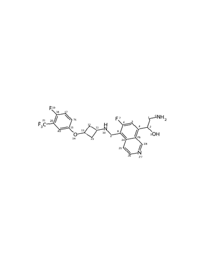 NCC(O)c1cc(F)c(CNC2CC(Oc3ccc(F)c(C(F)(F)F)c3)C2)c2ccncc12